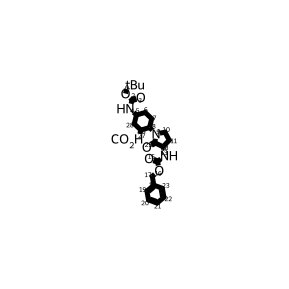 CC(C)(C)OC(=O)NC1CCC(N2CC[C@H](NC(=O)OCc3ccccc3)C2=O)C(C(=O)O)C1